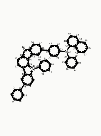 c1ccc(-c2ccc3c(c2)c2ccc4sc5ccc(-c6ccc(N(c7ccccc7)c7cccc8ccccc78)cc6)cc5c4c2n3-c2ccccc2)cc1